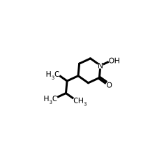 CC(C)C(C)C1CCN(O)C(=O)C1